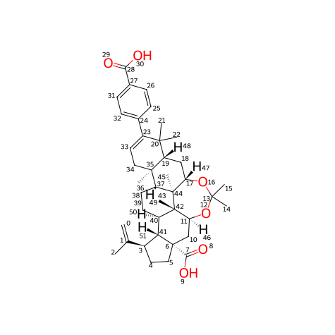 C=C(C)[C@@H]1CC[C@]2(C(=O)O)C[C@@H]3OC(C)(C)O[C@H]4C[C@H]5C(C)(C)C(c6ccc(C(=O)O)cc6)=CC[C@]5(C)[C@H]5CC[C@H]([C@@H]12)[C@]3(C)[C@]45C